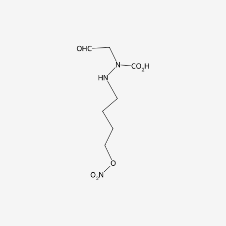 O=CCN(NCCCCO[N+](=O)[O-])C(=O)O